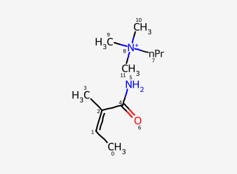 CC=C(C)C(N)=O.CCC[N+](C)(C)C